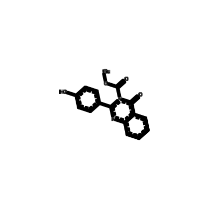 CC(C)(C)OC(=O)n1c(-c2ccc(O)cc2)nc2ccccc2c1=O